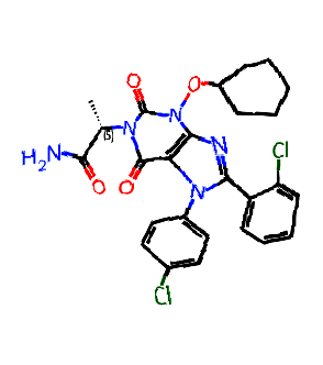 C[C@@H](C(N)=O)n1c(=O)c2c(nc(-c3ccccc3Cl)n2-c2ccc(Cl)cc2)n(OC2CCCCC2)c1=O